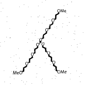 COCCCOCCCOCCCOP(OCCCOCCCOCCCOC)OCCCOCCCOCCCOC